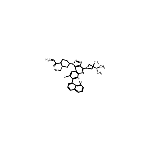 C=CC(=O)N1CCC(n2nnc3c(N4CC(C)(N(C)C)C4)nc4c(F)c(-c5cccc6cccc(Cl)c56)c(Cl)cc4c32)C[C@H]1CC#N